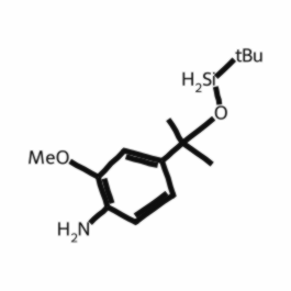 COc1cc(C(C)(C)O[SiH2]C(C)(C)C)ccc1N